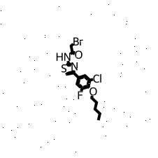 CCCCCOc1c(F)cc(-c2csc(NC(=O)CBr)n2)cc1Cl